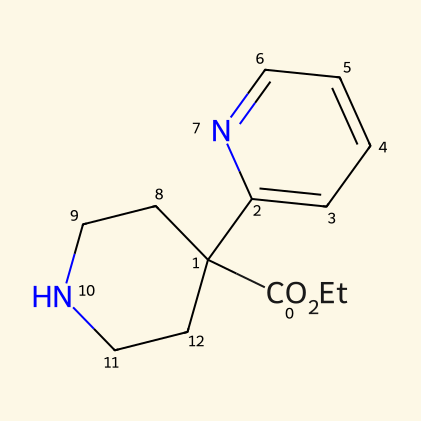 CCOC(=O)C1(c2ccccn2)CCNCC1